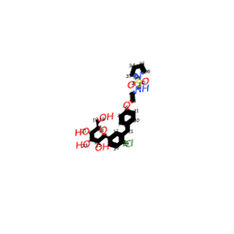 O=S(=O)(NCCOc1ccc(Cc2cc([C@@H]3O[C@H](CO)[C@@H](O)[C@H](O)[C@@H]3O)ccc2Cl)cc1)N1CCCC1